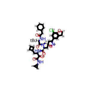 CC(C)(C)[C@H](NC(=O)CC1CCCCC1)C(=O)N1C[C@@]2(CC(c3cc(Cl)c4c(c3)CCO4)=NO2)C[C@H]1C(=O)NC(CC1CCC1)C(=O)C(=O)NC1CC1